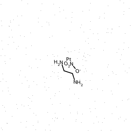 NCCN.O=[N+]([O-])[O-].[Pt]